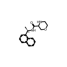 C[C@@H](NC(=O)C1COCCN1)c1cccc2ccccc12